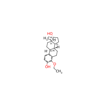 CCOc1c(O)ccc2c1CC[C@@H]1[C@@H]2CC[C@]2(C)[C@H](O)CC[C@@H]12